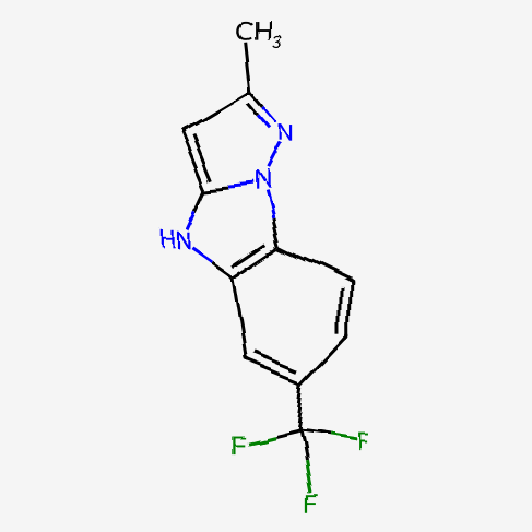 Cc1cc2[nH]c3cc(C(F)(F)F)ccc3n2n1